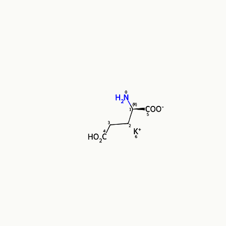 N[C@H](CCC(=O)O)C(=O)[O-].[K+]